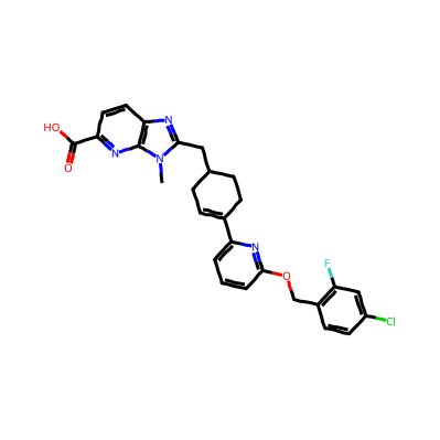 Cn1c(CC2CC=C(c3cccc(OCc4ccc(Cl)cc4F)n3)CC2)nc2ccc(C(=O)O)nc21